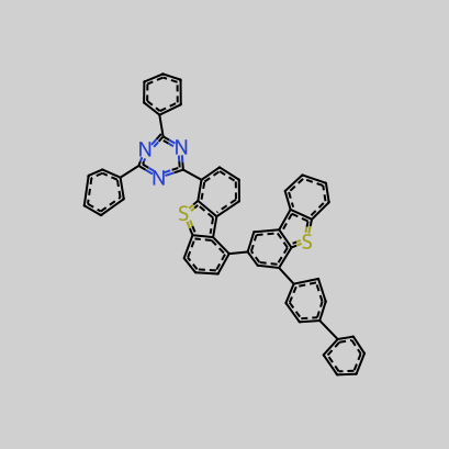 c1ccc(-c2ccc(-c3cc(-c4cccc5sc6c(-c7nc(-c8ccccc8)nc(-c8ccccc8)n7)cccc6c45)cc4c3sc3ccccc34)cc2)cc1